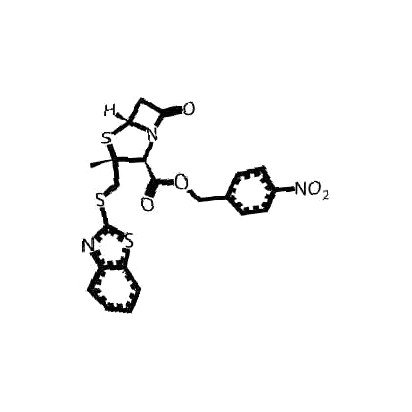 C[C@@]1(CSc2nc3ccccc3s2)S[C@@H]2CC(=O)N2[C@H]1C(=O)OCc1ccc([N+](=O)[O-])cc1